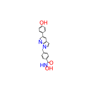 O=C(NO)c1ccc(Cn2ccc3cc(-c4ccc(O)cc4)cnc32)cc1